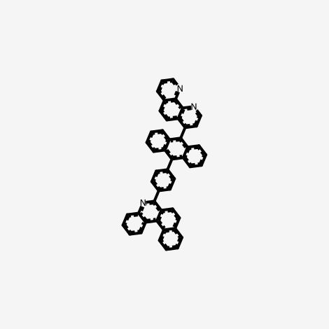 c1ccc2c(c1)ccc1c(-c3ccc(-c4c5ccccc5c(-c5ccnc6c5ccc5cccnc56)c5ccccc45)cc3)nc3ccccc3c12